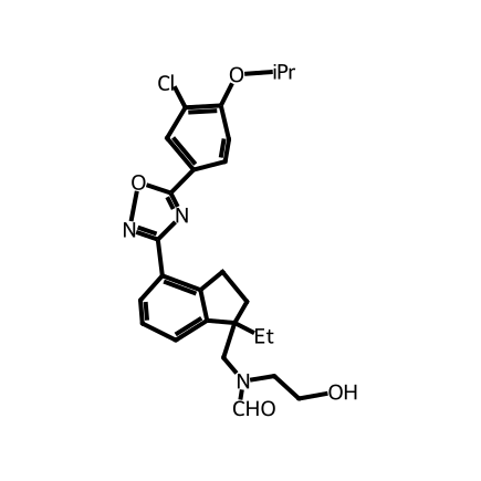 CCC1(CN(C=O)CCO)CCc2c(-c3noc(-c4ccc(OC(C)C)c(Cl)c4)n3)cccc21